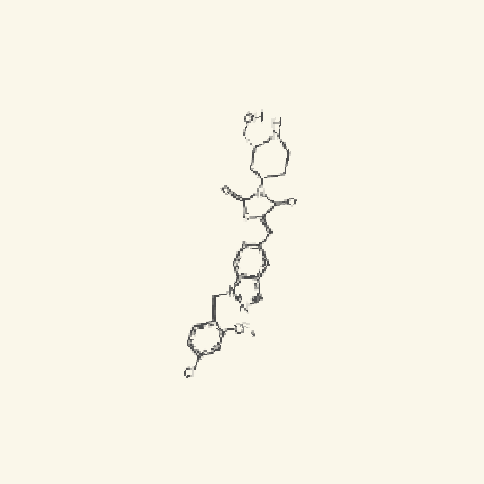 O=C1S/C(=C\c2ccc3c(cnn3Cc3ccc(Cl)cc3C(F)(F)F)c2)C(=O)N1C1CCN[C@@H](CO)C1